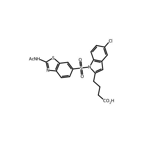 CC(=O)Nc1nc2ccc(S(=O)(=O)n3c(CCCC(=O)O)cc4cc(Cl)ccc43)cc2s1